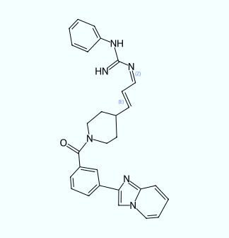 N=C(/N=C\C=C\C1CCN(C(=O)c2cccc(-c3cn4ccccc4n3)c2)CC1)Nc1ccccc1